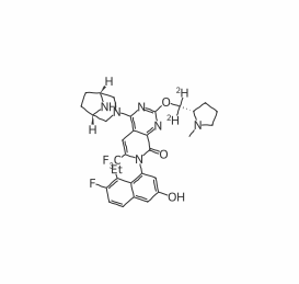 [2H]C([2H])(Oc1nc(N2C[C@H]3CC[C@@H](C2)N3)c2cc(C(F)(F)F)n(-c3cc(O)cc4ccc(F)c(CC)c34)c(=O)c2n1)[C@@H]1CCCN1C